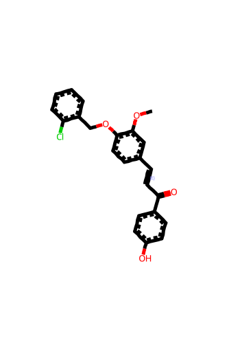 COc1cc(/C=C/C(=O)c2ccc(O)cc2)ccc1OCc1ccccc1Cl